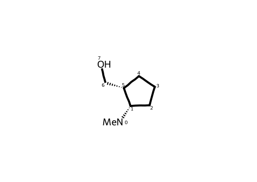 CN[C@H]1CCC[C@H]1CO